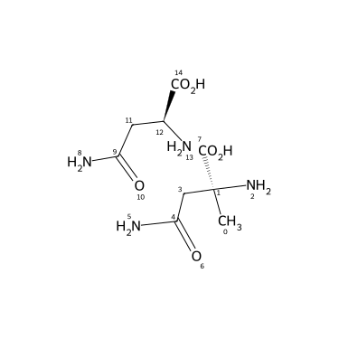 C[C@](N)(CC(N)=O)C(=O)O.NC(=O)C[C@H](N)C(=O)O